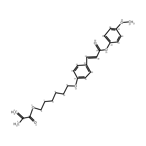 C=C(C)C(=O)OCCCCCCOc1ccc(/C=C/C(=O)Oc2ccc(OC)cc2)cc1